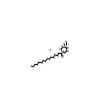 CCCCCCCCCCCCCCCC(=O)N1CCC[N+](C)(CC)CC1.[I-]